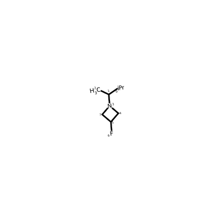 CC(C)C(C)N1CC(F)C1